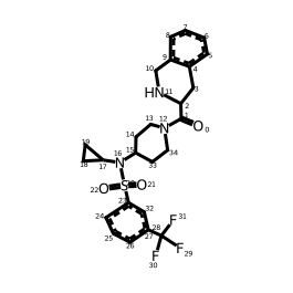 O=C(C1Cc2ccccc2CN1)N1CCC(N(C2CC2)S(=O)(=O)c2cccc(C(F)(F)F)c2)CC1